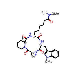 CCC(C)[C@@H]1NC(=O)[C@H](Cc2cn(OC)c3ccccc23)NC(=O)[C@H](CCCCCC(=O)N(C)OC)NC(=O)[C@H]2CCCCN2C1=O